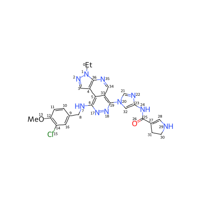 CCn1ncc2c3c(NCc4ccc(OC)c(Cl)c4)nnc(-n4cnc(NC(=O)C5=CNCC5)c4)c3cnc21